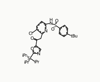 CC(C)[Si](c1ncc(C(=O)Cc2nc(NS(=O)(=O)c3ccc(C(C)(C)C)cc3)ccc2Cl)o1)(C(C)C)C(C)C